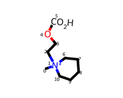 C[N+]1(CCOC(=O)O)CCCCC1